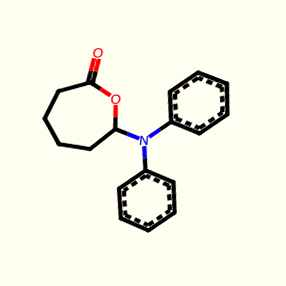 O=C1CCCCC(N(c2ccccc2)c2ccccc2)O1